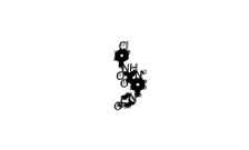 Cn1cc(C(=O)NCc2ccc(Cl)cc2)c(=O)c2cc(CN3CC[S+]([O-])CC3)ccc21